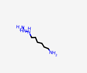 NCCCCCCNNN